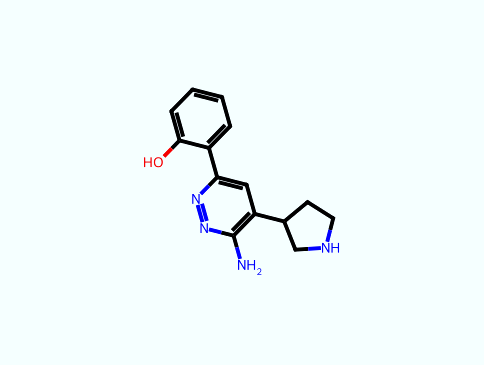 Nc1nnc(-c2ccccc2O)cc1C1CCNC1